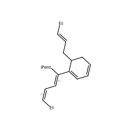 CCC=CCC1CC=CC=C1/C(=C/C=C\CC)C(C)CCC